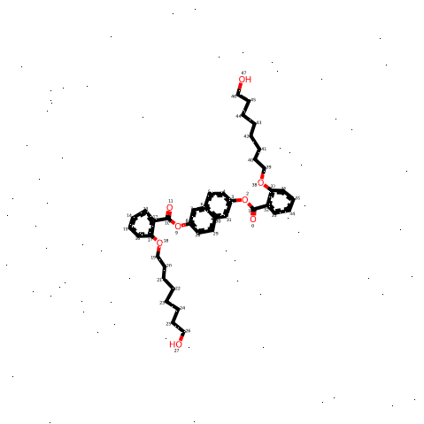 O=C(Oc1ccc2cc(OC(=O)c3ccccc3OCCCCCCCCO)ccc2c1)c1ccccc1OCCCCCCCCO